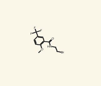 COc1ccc(C(F)(F)F)cc1C(=O)NCCBr